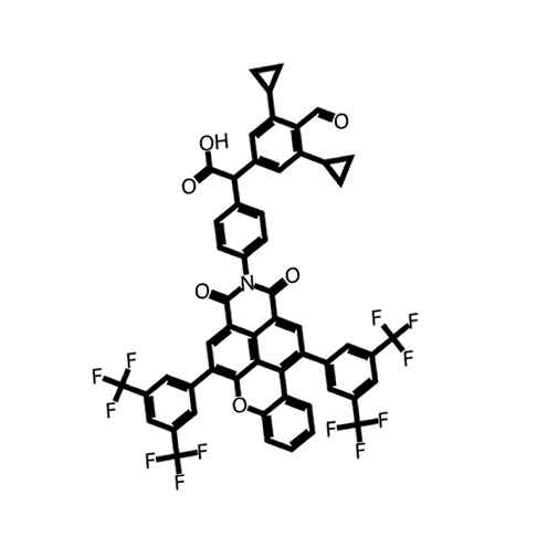 O=Cc1c(C2CC2)cc(C(C(=O)O)c2ccc(-n3c(=O)c4cc(-c5cc(C(F)(F)F)cc(C(F)(F)F)c5)c5oc6ccccc6c6c(-c7cc(C(F)(F)F)cc(C(F)(F)F)c7)cc(c3=O)c4c56)cc2)cc1C1CC1